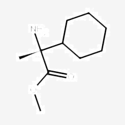 COC(=O)[C@](C)(N)C1CCCCC1